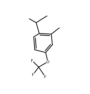 [CH2]c1cc(OC(F)(F)F)ccc1C(C)C